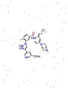 C=C/C(=C\C(=C/CC(F)(F)F)NC(=O)c1ccc(C)c(N2C=C(c3cncc(OC)c3)NN2)c1)N1CC2CC1CN2C